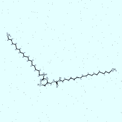 CCCCCCCCCCCCCCCCCCNC(=O)OCC(CC)OC(=O)NCCCCCCCCCCCCCCCCCC